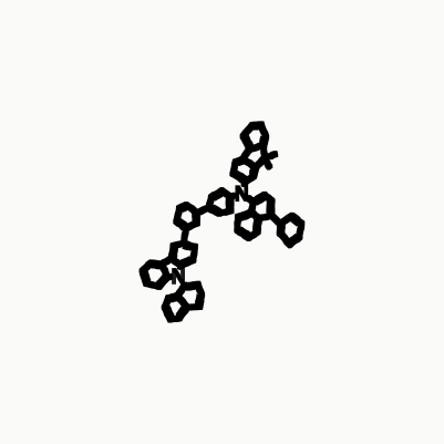 CC1(C)c2ccccc2-c2ccc(N(c3ccc(-c4cccc(-c5ccc6c(c5)c5ccccc5n6-c5cccc6ccccc56)c4)cc3)c3ccc(-c4ccccc4)c4ccccc34)cc21